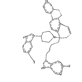 Fc1ccc2[nH]cc(CCCCC3(N4CCC(c5c[nH]c6ccc(F)cc56)CC4)CC=Cc4c3ccc3c4CCc4ccccc4-3)c2c1